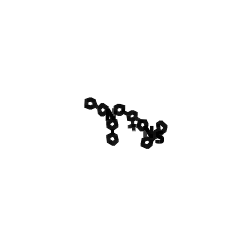 CC1(C)c2cc(-c3cccc(N(c4ccc(-c5ccccc5)cc4)c4ccc(-c5ccccc5)cc4)c3)ccc2-c2ccc(-n3c4ccccc4c4sc5ccccc5c43)cc21